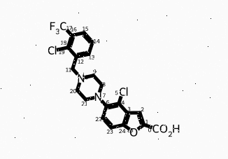 O=C(O)c1cc2c(Cl)c(N3CCN(Cc4cccc(C(F)(F)F)c4Cl)CC3)ccc2o1